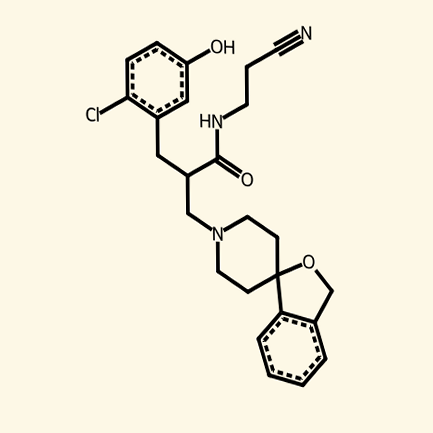 N#CCCNC(=O)C(Cc1cc(O)ccc1Cl)CN1CCC2(CC1)OCc1ccccc12